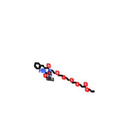 C=CCOC(=O)CCOCCOCCOCCOCCNC(=O)[C@H](Cc1ccccc1)NC(=O)OC(C)(C)C